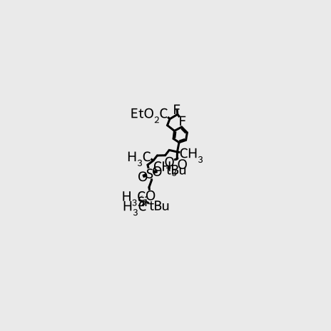 CCOC(=O)C(Cc1cccc(C(C)(CCCC(C)(C)CS(=O)(=O)CCO[Si](C)(C)C(C)(C)C)C(=O)OC(C)(C)C)c1)C(F)F